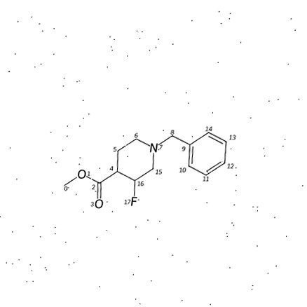 COC(=O)C1CCN(Cc2ccccc2)CC1F